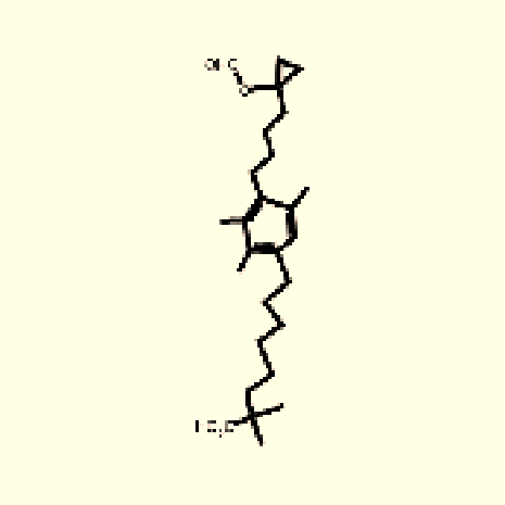 Cc1cc(CCCCCCC(C)(C)C(=O)O)c(C)c(C)c1CCCCC1(OC=O)CC1